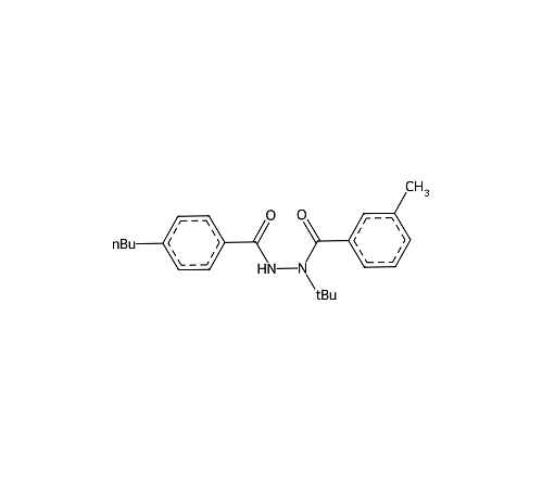 CCCCc1ccc(C(=O)NN(C(=O)c2cccc(C)c2)C(C)(C)C)cc1